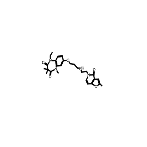 CCN1C(=O)C(C)(C)C(=O)N(C)c2cc(OCCCNCCn3ccc4oc(C)cc4c3=O)ccc21